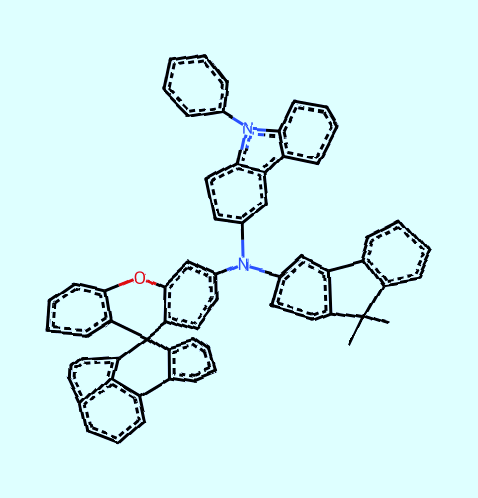 CC1(C)c2ccccc2-c2cc(N(c3ccc4c(c3)Oc3ccccc3C43c4ccccc4-c4cccc5cccc3c45)c3ccc4c(c3)c3ccccc3n4-c3ccccc3)ccc21